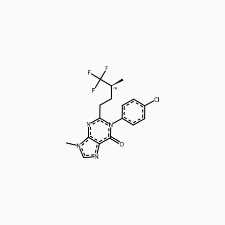 C[C@@H](CCc1nc2c(ncn2C)c(=O)n1-c1ccc(Cl)cc1)C(F)(F)F